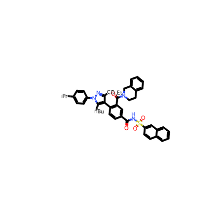 CCCCc1c(-c2ccc(C(=O)NS(=O)(=O)c3ccc4ccccc4c3)cc2C(=O)N2CCc3ccccc3C2)c(C(=O)OCC)nn1-c1ccc(C(C)C)cc1